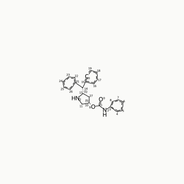 O=C(Nc1ccccc1)O[C@@H]1CN[C@H](C(c2ccccc2)c2ccccc2)C1